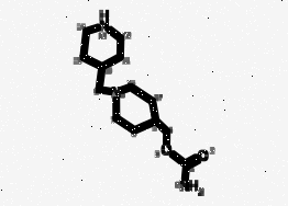 NC(=O)OCC1CCN(CC2CCNCC2)CC1